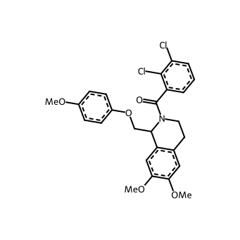 COc1ccc(OCC2c3cc(OC)c(OC)cc3CCN2C(=O)c2cccc(Cl)c2Cl)cc1